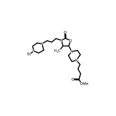 CCN1CCN(CCCN2C(=O)OC(N3CCN(CCCC(=O)OC)CC3)C2C)CC1